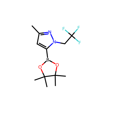 Cc1cc(B2OC(C)(C)C(C)(C)O2)n(CC(F)(F)F)n1